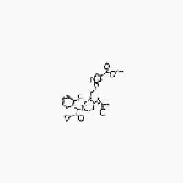 CCOC(=O)c1cnn(CC=C2CN(C(C(=O)C3CC3)c3ccccc3F)CCC2SC(C)=O)c1